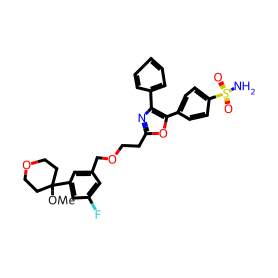 COC1(c2cc(F)cc(COCCc3nc(-c4ccccc4)c(-c4ccc(S(N)(=O)=O)cc4)o3)c2)CCOCC1